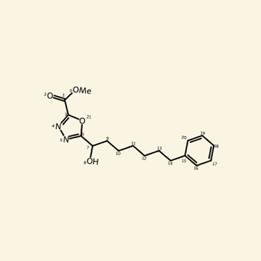 COC(=O)c1nnc(C(O)CCCCCCc2ccccc2)o1